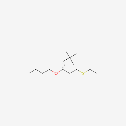 CCCCOC(=CC(C)(C)C)CCSCC